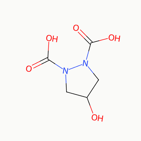 O=C(O)N1CC(O)CN1C(=O)O